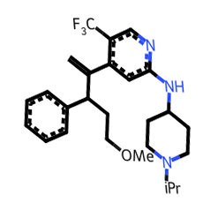 C=C(c1cc(NC2CCN(C(C)C)CC2)ncc1C(F)(F)F)C(CCOC)c1ccccc1